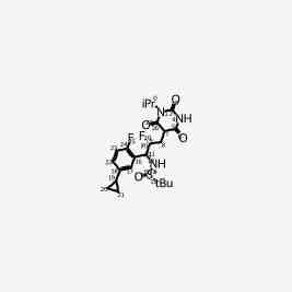 CC(C)N1C(=O)NC(=O)C(C[C@@H](F)[C@@H](N[S@+]([O-])C(C)(C)C)c2cc(C3CC3)ccc2F)C1=O